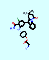 CC1(C)CC(=O)n2c(c(-c3cc(F)c(C(N)=O)c(N[C@H]4CC[C@H](OC(=O)CN)CC4)c3)c3ccccc32)C1